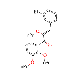 CCCOC(=Cc1cccc(CC)c1)C(=O)c1cccc(OCCC)c1OCCC